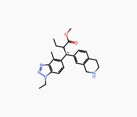 CCC(C(=O)OC)[C@@H](c1ccc2c(c1)CNCC2)c1ccc2c(nnn2CC)c1C